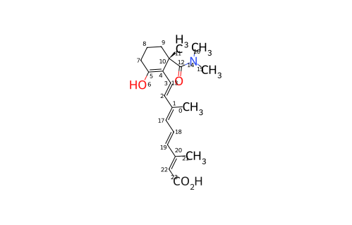 CC(/C=C/C1=C(O)CCC[C@]1(C)C(=O)N(C)C)=C\C=C\C(C)=C\C(=O)O